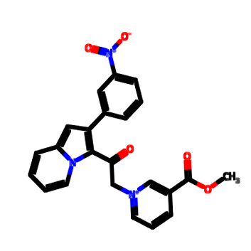 COC(=O)c1ccc[n+](CC(=O)c2c(-c3cccc([N+](=O)[O-])c3)cc3ccccn23)c1